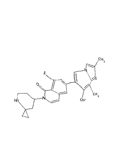 Cc1cn2cc(-c3cc(F)c4c(=O)n(C5CCNC6(CC6)C5)ccc4c3)c(O)c(C)c2n1